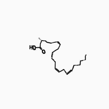 CCCCC/C=C\C/C=C\C/C=C\C/C=C\CC[C@@H](C)C(=O)O